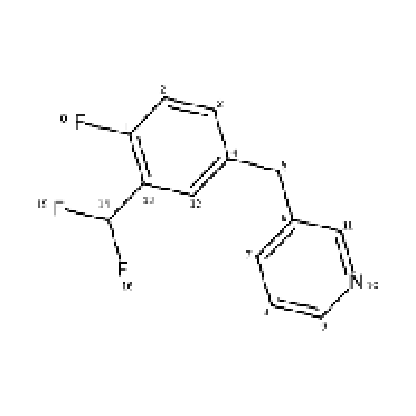 Fc1ccc([CH]c2cccnc2)cc1C(F)F